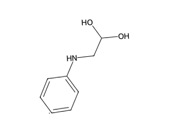 OC(O)CNc1cc[c]cc1